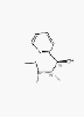 CCN(C)[C@@H](C)[C@H](O)c1ccccc1